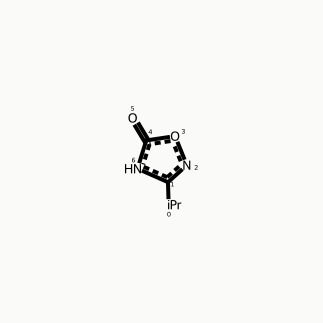 CC(C)c1noc(=O)[nH]1